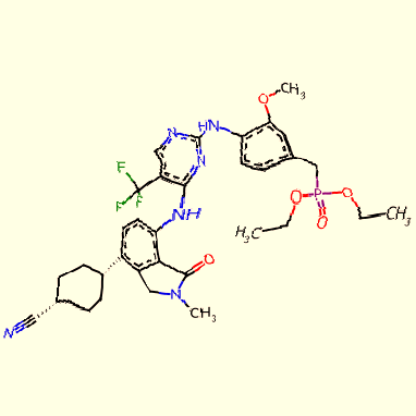 CCOP(=O)(Cc1ccc(Nc2ncc(C(F)(F)F)c(Nc3ccc([C@H]4CC[C@@H](C#N)CC4)c4c3C(=O)N(C)C4)n2)c(OC)c1)OCC